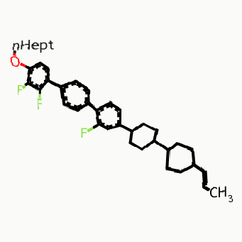 C/C=C/C1CCC(C2CCC(c3ccc(-c4ccc(-c5ccc(OCCCCCCC)c(F)c5F)cc4)c(F)c3)CC2)CC1